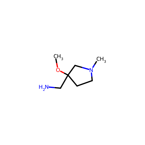 COC1(CN)CCN(C)C1